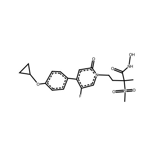 CC(CCn1cc(F)c(-c2ccc(OC3CC3)cc2)cc1=O)(C(=O)NO)S(C)(=O)=O